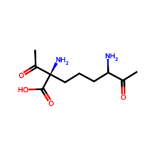 CC(=O)C(N)CCC[C@@](N)(C(C)=O)C(=O)O